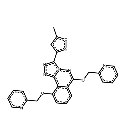 Cc1cc(-c2nnc3c4c(OCc5ccccn5)cccc4c(OCc4ccccn4)nn23)no1